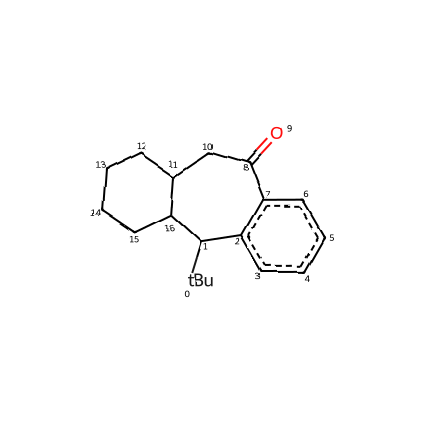 CC(C)(C)C1c2ccccc2C(=O)CC2CCCCC21